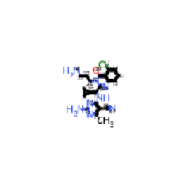 Cc1nc(N)nc(NC(c2nc3cccc(Cl)c3c(=O)n2CCCN)C2CC2)c1C#N